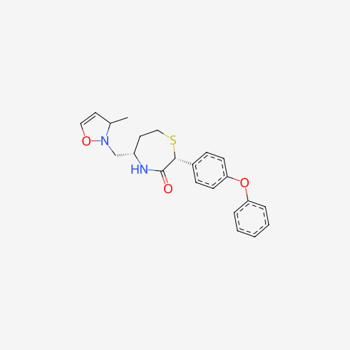 CC1C=CON1C[C@@H]1CCS[C@H](c2ccc(Oc3ccccc3)cc2)C(=O)N1